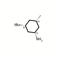 C[C@@H]1C[C@H](N)C[C@H](C(C)(C)C)C1